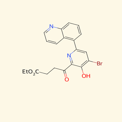 CCOC(=O)CCC(=O)c1nc(-c2cccc3ncccc23)cc(Br)c1O